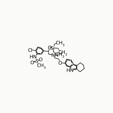 CC[Si](CC)(CC)O[C@@H](CNCCOc1ccc2c3c([nH]c2c1)CCCC3)c1ccc(Cl)c(NS(C)(=O)=O)c1